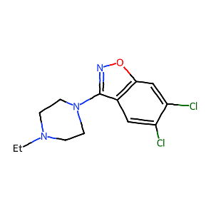 CCN1CCN(c2noc3cc(Cl)c(Cl)cc23)CC1